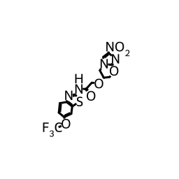 O=C(COC1COc2nc([N+](=O)[O-])cn2C1)Nc1nc2ccc(OC(F)(F)F)cc2s1